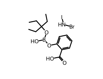 BrNI.CCC(CC)(CC)OB(O)Oc1ccccc1C(=O)O